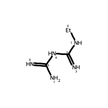 CCNC(=N)NC(=N)N